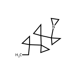 CCC1(C2(C3(C4(N5CC5)CC4)CC3)CC2)CC1